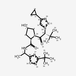 CC(NC(=O)[C@H]1C[C@H](O)CN1C(=O)[C@H](n1cc(C2CC2)nn1)C(C)(C)C)c1nc(C(C)(C)C)no1